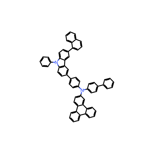 c1ccc(-c2ccc(N(c3ccc(-c4ccc5c(c4)c4cc(-c6cccc7ccccc67)ccc4n5-c4ccccc4)cc3)c3ccc4c5ccccc5c5ccccc5c4c3)cc2)cc1